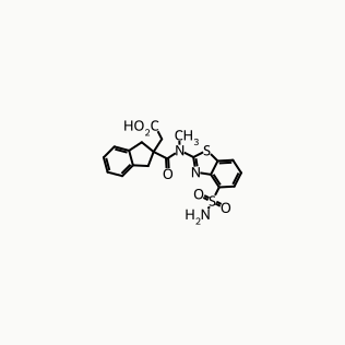 CN(C(=O)C1(CC(=O)O)Cc2ccccc2C1)c1nc2c(S(N)(=O)=O)cccc2s1